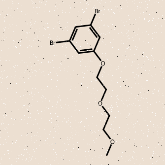 COCCOCCOc1cc(Br)cc(Br)c1